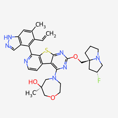 C=Cc1c(C)cc2[nH]ncc2c1-c1nccc2c1sc1nc(OC[C@@]34CCCN3C[C@H](F)C4)nc(N3CCOC[C@@](C)(O)C3)c12